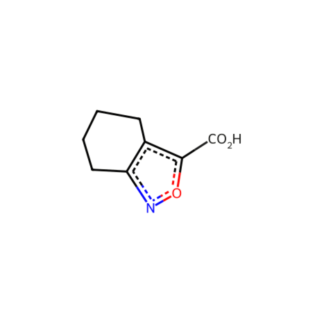 O=C(O)c1onc2c1CCCC2